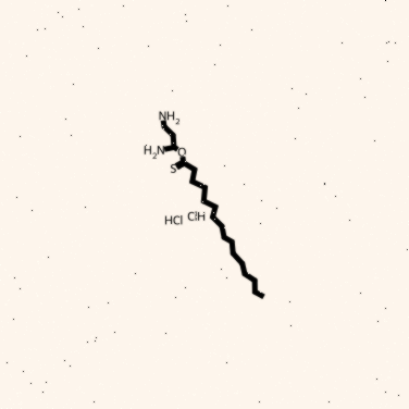 CCCCCCCCCCCCCCCC(=S)OC(N)CCN.Cl.Cl